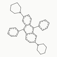 c1ccc(-c2c3ccc(N4CCCCC4)cc3c(-c3ccccc3)c3ccc(N4CCCCC4)cc23)cc1